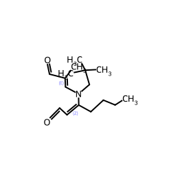 CCCC/C(=C/C=O)N(/C=C(\C)C=O)CC(C)(C)C